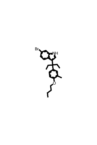 CCCCOc1ccc(C(CC)(CC)c2c[nH]c3cc(Br)ccc23)cc1C